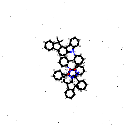 CC1(C)c2ccccc2-c2ccc3c(c21)c1ccccc1n3-c1ccccc1-c1c(-c2cc(-c3ccccc3)nc(-c3ccccc3)n2)cccc1-n1c2ccccc2c2c3c(ccc21)-c1ccccc1C3(C)C